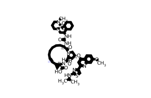 COc1ccc2c(O[C@@H]3C[C@H]4C(=O)N[C@]5(C(=O)O)CC5/C=C\CCCCC[C@H](NC(=O)NC(CN5CCCN(C)S5(=O)=O)C5CCCCC5)C(=O)N4C3)cc(-c3csc(NC(C)C)n3)nc2c1